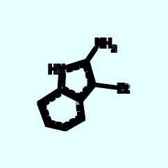 CCc1c(N)[nH]c2ccccc12